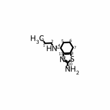 CCCN[C@@H]1CCCc2sc(N)nc21